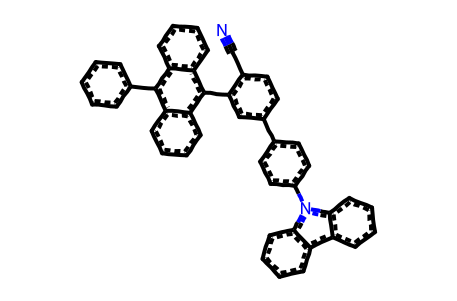 N#Cc1ccc(-c2ccc(-n3c4ccccc4c4ccccc43)cc2)cc1-c1c2ccccc2c(-c2ccccc2)c2ccccc12